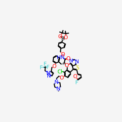 Cc1c(-c2c(-c3ccc(F)o3)sc3ncnc(O[C@H](Cc4ccccc4OCc4ccnn4CC(F)(F)F)C(=O)NOCc4ccc(B5OC(C)(C)C(C)(C)O5)cc4)c23)ccc(OCCN2CCN(C)CC2)c1Cl